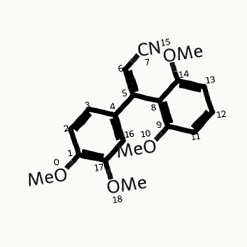 COc1ccc(/C(=C/C#N)c2c(OC)cccc2OC)cc1OC